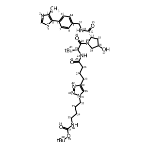 Cc1ncsc1-c1ccc(CNC(=O)[C@@H]2C[C@@H](O)CN2C(=O)[C@@H](NC(=O)CCCc2cn(CCCCNC(=O)OC(C)(C)C)nn2)C(C)(C)C)cc1